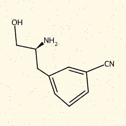 N#Cc1cccc(C[C@H](N)CO)c1